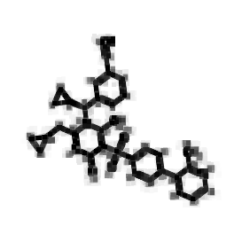 C#Cc1cccc([C@H](C2CC2)n2c(CC3CC3)nc(=O)c(S(=O)(=O)c3ccc(-c4cccnc4C)cc3)c2O)c1